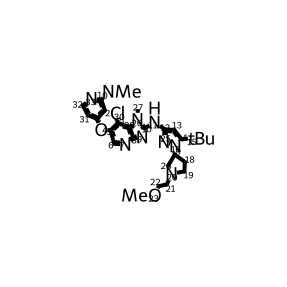 CNc1cc(Oc2cnc3nc(Nc4cc(C(C)(C)C)n(C5CCN(CCOC)C5)n4)n(C)c3c2Cl)ccn1